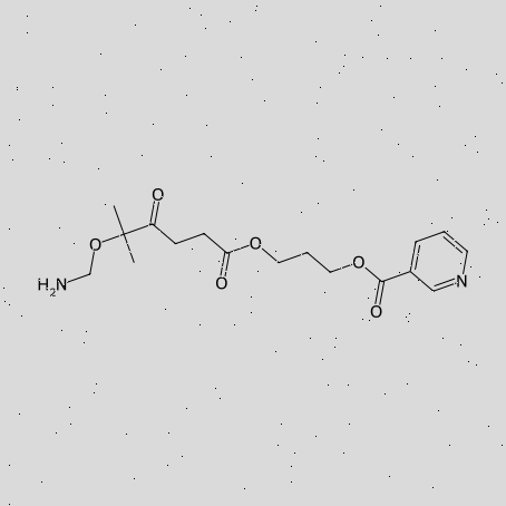 CC(C)(OCN)C(=O)CCC(=O)OCCCOC(=O)c1cccnc1